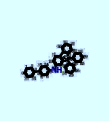 c1ccc(-c2ccc(Nc3ccc4c(c3)[Si](c3ccccc3)(c3ccccc3)c3ccccc3-4)cc2)cc1